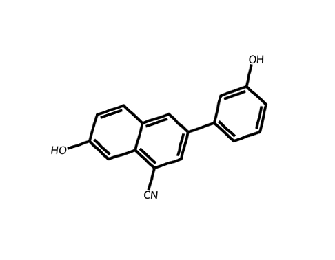 N#Cc1cc(-c2cccc(O)c2)cc2ccc(O)cc12